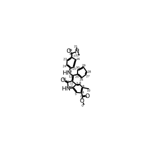 COC(=O)c1cc2c(cc1C)/C(=C(/Nc1ccc(C(=O)N(C)C)cc1)c1ccccc1)C(=O)N2